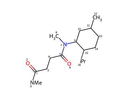 CNC(=O)CCC(=O)N(C)C1CC(C)CCC1C(C)C